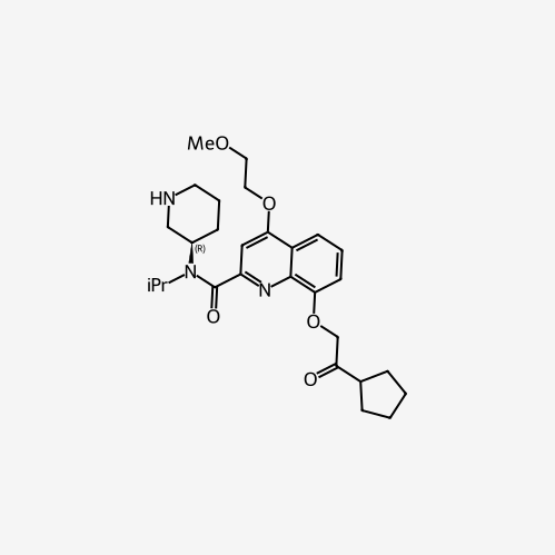 COCCOc1cc(C(=O)N(C(C)C)[C@@H]2CCCNC2)nc2c(OCC(=O)C3CCCC3)cccc12